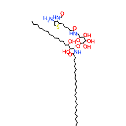 CCCCCCCCCCCCCCCCCCCCCCCCCC(=O)N[C@@H](COC1OC(CNC(=O)CCCCC2SCC(N)[C@@H]2NC=O)C(O)C(O)C1O)C(O)[C@H](O)CCCCCCCCCCCCCC